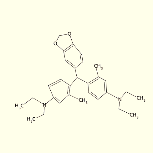 CCN(CC)c1ccc(C(c2ccc3c(c2)OCO3)c2ccc(N(CC)CC)cc2C)c(C)c1